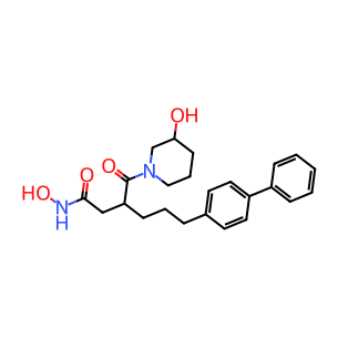 O=C(CC(CCCc1ccc(-c2ccccc2)cc1)C(=O)N1CCCC(O)C1)NO